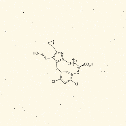 C[C@H](Oc1cc(Sc2c(C=NO)c(C3CC3)nn2C)c(Cl)cc1Cl)C(=O)O